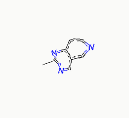 Cc1ncc2cnccc2n1